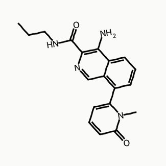 CCCNC(=O)c1ncc2c(-c3cccc(=O)n3C)cccc2c1N